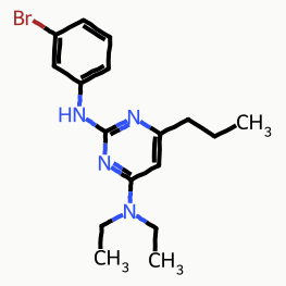 CCCc1cc(N(CC)CC)nc(Nc2cccc(Br)c2)n1